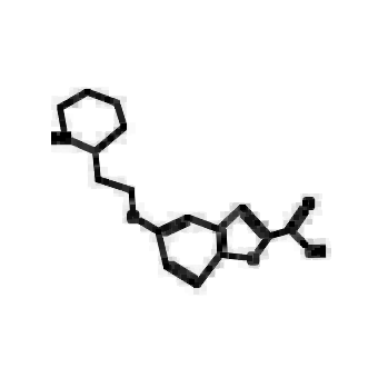 O=C(O)c1cc2cc(OCCC3CCCCN3)ccc2o1